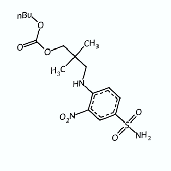 CCCCOC(=O)OCC(C)(C)CNc1ccc(S(N)(=O)=O)cc1[N+](=O)[O-]